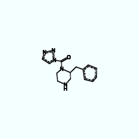 O=C(N1CCNCC1Cc1ccccc1)n1ccnn1